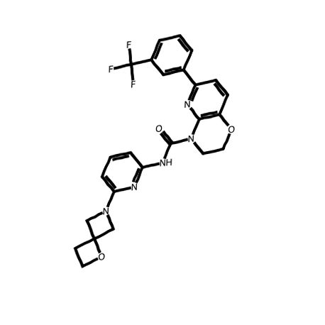 O=C(Nc1cccc(N2CC3(CCO3)C2)n1)N1CCOc2ccc(-c3cccc(C(F)(F)F)c3)nc21